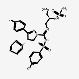 COC[C@H](C/N=C(/NS(=O)(=O)c1ccc(Cl)cc1)N1C[C@H](c2ccccc2)C(c2ccc(F)cc2)=N1)NS(N)(=O)=O